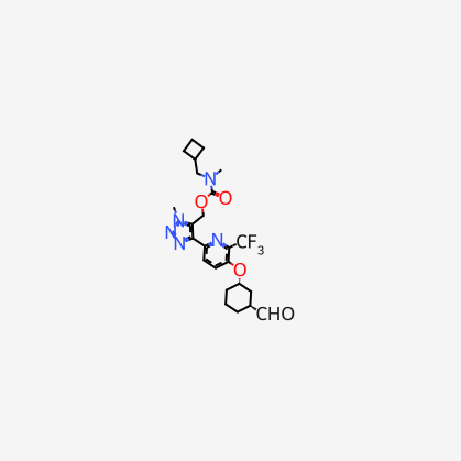 CN(CC1CCC1)C(=O)OCc1c(-c2ccc(O[C@H]3CCC[C@H](C=O)C3)c(C(F)(F)F)n2)nnn1C